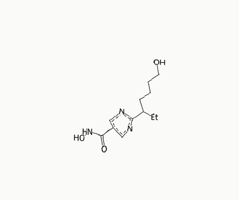 CCC(CCCCO)c1ncc(C(=O)NO)cn1